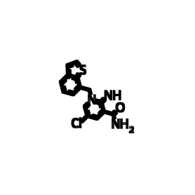 N=c1c(C(N)=O)cc(Cl)cn1Cc1cccc2ccsc12